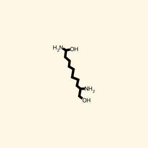 NC(O)CCCCCCCC(N)CO